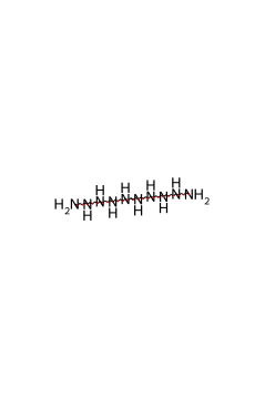 NCCCCNCCCCNCCCCNCCCCNC/C=C/CNCCCCNCCCCNCCCCNCCCCN